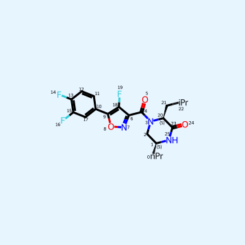 CCC[C@H]1CN(C(=O)c2noc(-c3ccc(F)c(F)c3)c2F)[C@@H](CC(C)C)C(=O)N1